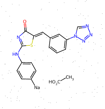 CC(=O)O.O=C1N=C(Nc2cc[c]([Na])cc2)SC1=Cc1cccc(-n2cnnn2)c1